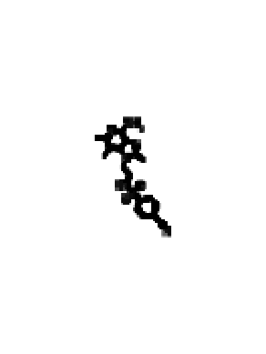 Cc1nc(N)c2nc(C)n(CCNS(=O)(=O)c3ccc(C#N)cc3)c2c1C